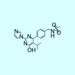 CC(C)c1c(O)nc(-n2ccnc2)nc1-c1ccc(CNS(C)(=O)=O)cc1